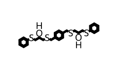 OC(CSCc1ccc(CSCC(O)CSc2ccccc2)cc1)CSc1ccccc1